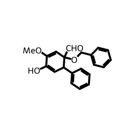 COC1=CC(C=O)(OCc2ccccc2)C(c2ccccc2)C=C1O